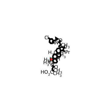 CC(=C[C@@]12CC[C@]3(C)[C@H](CC[C@@H]4[C@@]5(C)CC[C@H](OC(=O)CC(C)(C)C(=O)O)C(C)(C)[C@@H]5CC[C@]43C)C1=C(C(C)C)C(=O)C2)C(=O)NC1(c2cccc(Cl)c2)CC1